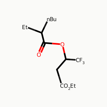 CCCCC(CC)C(=O)OC(CC(=O)OCC)C(F)(F)F